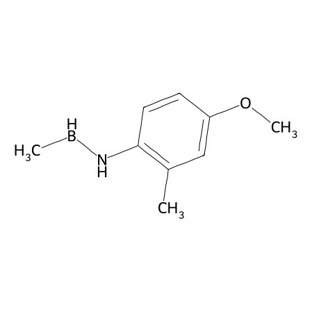 CBNc1ccc(OC)cc1C